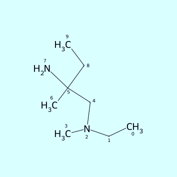 CCN(C)CC(C)(N)CC